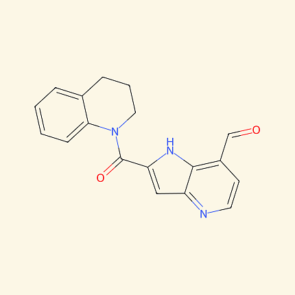 O=Cc1ccnc2cc(C(=O)N3CCCc4ccccc43)[nH]c12